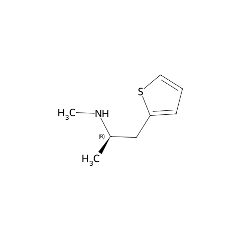 CN[C@H](C)Cc1cccs1